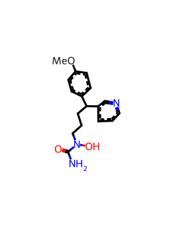 COc1ccc(C(CCCN(O)C(N)=O)c2cccnc2)cc1